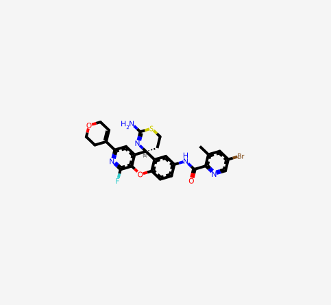 Cc1cc(Br)cnc1C(=O)Nc1ccc2c(c1)[C@@]1(CCSC(N)=N1)c1cc(C3=CCOCC3)nc(F)c1O2